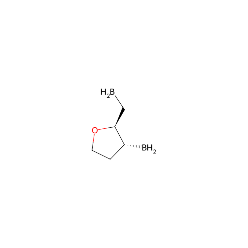 BC[C@@H]1OCC[C@H]1B